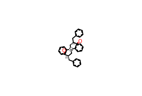 O=C[C@H](Cc1ccccc1)C[Si](C[C@H](C=O)Cc1ccccc1)(c1ccccc1)c1ccccc1